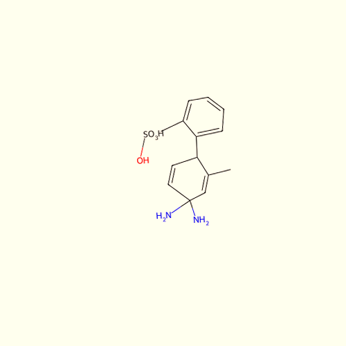 CC1=CC(N)(N)C=CC1c1ccccc1C.O=S(=O)(O)O